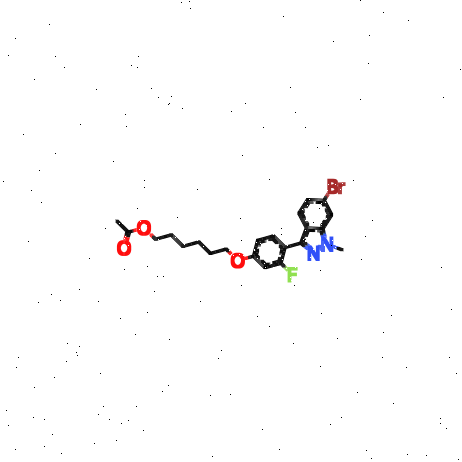 CC(=O)OCCCCCCOc1ccc(-c2nn(C)c3cc(Br)ccc23)c(F)c1